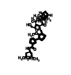 COc1c(CN2O[C@@H](CO)[C@H]([C@H](C)O)[C@H]2C(=O)N[C@H]2C[C@H]3C[C@@H]([C@@H]2C)C3(C)C)cccc1-c1cccc(C(=O)N[C@H](CC(C)C)CN(C)C)c1